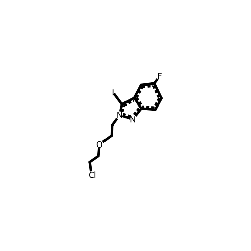 Fc1ccc2nn(CCOCCCl)c(I)c2c1